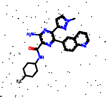 Cn1ccc(-c2nc(N)c(C(=O)NC3CCC(C(F)(F)F)CC3)nc2-c2ccc3ncccc3c2)n1